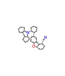 N#Cc1cccc2oc3ccc(-c4ccccc4-n4c5ccccc5c5ccccc54)cc3c12